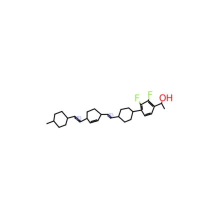 CC1CCC(/C=C/C2C=CC(/C=C/C3CCC(c4ccc(C(C)O)c(F)c4F)CC3)CC2)CC1